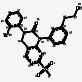 CS(=O)(=O)c1ncc2c(n1)N(c1cccc(CCO)c1)C(=O)N(c1ccccc1Br)C2